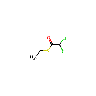 C[CH]SC(=O)C(Cl)Cl